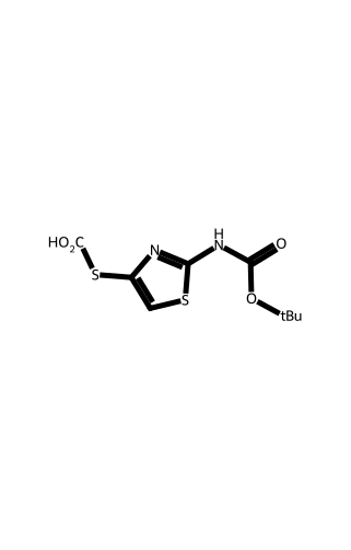 CC(C)(C)OC(=O)Nc1nc(SC(=O)O)cs1